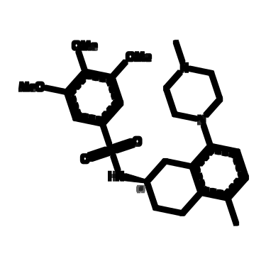 COc1cc(S(=O)(=O)N[C@@H]2CCc3c(C)ccc(N4CCN(C)CC4)c3C2)cc(OC)c1OC